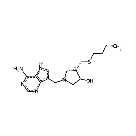 CCCCSC[C@H]1CN(Cc2c[nH]c3c(N)ncnc23)CC1O